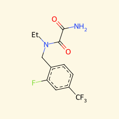 CCN(Cc1ccc(C(F)(F)F)cc1F)C(=O)C(N)=O